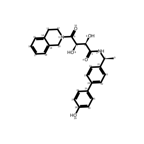 C[C@H](NC(=O)[C@H](O)[C@@H](O)C(=O)N1CCc2ccccc2C1)c1ccc(-c2ccc(O)cc2)cc1